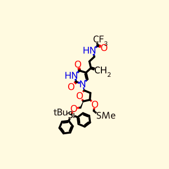 C=C(CCNC(=O)C(F)(F)F)c1cn([C@H]2CC(OCSC)[C@@H](CO[Si](c3ccccc3)(c3ccccc3)C(C)(C)C)O2)c(=O)[nH]c1=O